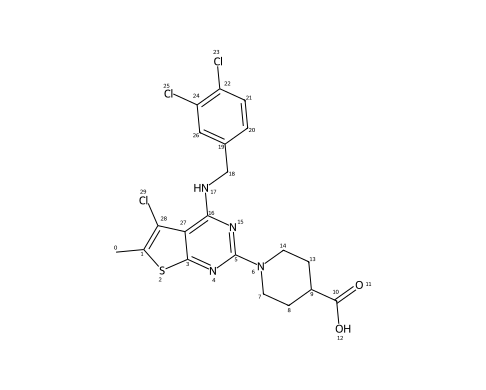 Cc1sc2nc(N3CCC(C(=O)O)CC3)nc(NCc3ccc(Cl)c(Cl)c3)c2c1Cl